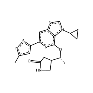 Cc1cc(-c2cc3ncn(C4CC4)c3c(O[C@H](C)C3CNC(=O)C3)n2)sn1